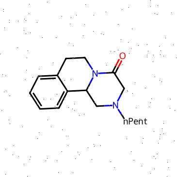 CCCCCN1CC(=O)N2CCc3ccccc3C2C1